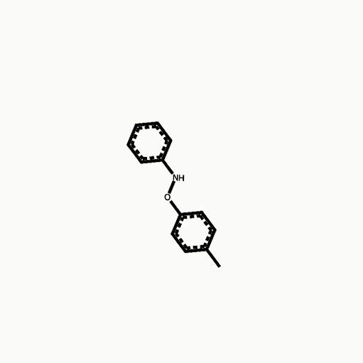 Cc1ccc(ONc2ccccc2)cc1